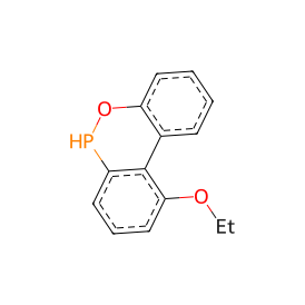 CCOc1cccc2c1-c1ccccc1OP2